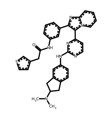 CN(C)C1Cc2ccc(Nc3nccc(-c4c(-c5cccc(NC(=O)Cc6ccsc6)c5)nc5ccccn45)n3)cc2C1